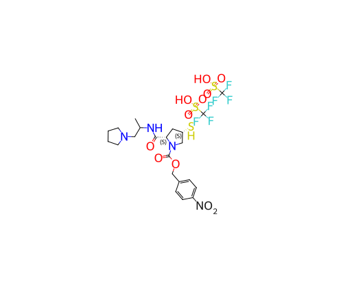 CC(CN1CCCC1)NC(=O)[C@@H]1C[C@H](S)CN1C(=O)OCc1ccc([N+](=O)[O-])cc1.O=S(=O)(O)C(F)(F)F.O=S(=O)(O)C(F)(F)F